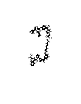 CN[C@@H](C)C(=O)N[C@H](C(=O)N1CCC[C@H]1c1nc(C(=O)c2cccc(OCCCCCCCCNC(=O)CN3CCN(C(=O)c4ccc(Nc5nc(C6CC6)cn6c(-c7cn[nH]c7)cnc56)c(F)c4)CC3)c2)cs1)C1CCCCC1